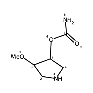 COC1CNCC1OC(N)=O